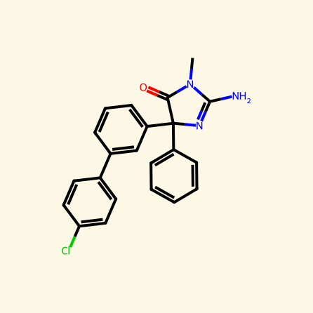 CN1C(=O)C(c2ccccc2)(c2cccc(-c3ccc(Cl)cc3)c2)N=C1N